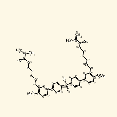 C=C(C)C(=O)OCCCOCc1cc(-c2ccc(S(=O)(=O)c3ccc(-c4ccc(OC)c(COCCCOC(=O)C(=C)C)c4)cc3)cc2)ccc1OC